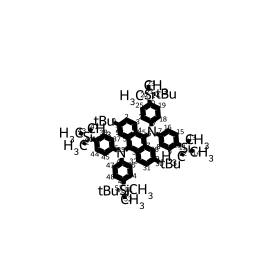 CC(C)(C)c1ccc2c(N(c3ccc([Si](C)(C)C)cc3)c3ccc([Si](C)(C)C(C)(C)C)cc3)c3cc(C(C)(C)C)ccc3c(N(c3ccc([Si](C)(C)C)cc3)c3ccc([Si](C)(C)C(C)(C)C)cc3)c2c1